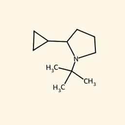 CC(C)(C)N1CCCC1C1CC1